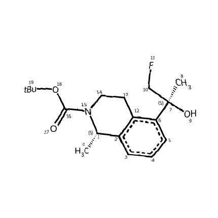 C[C@H]1c2cccc([C@](C)(O)CF)c2CCN1C(=O)OC(C)(C)C